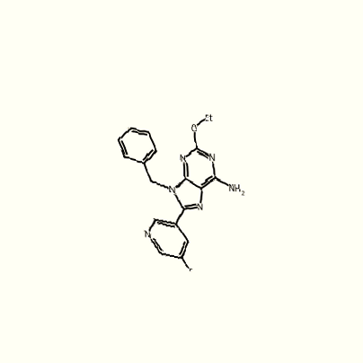 CCOc1nc(N)c2nc(-c3cncc(F)c3)n(Cc3cc[c]cc3)c2n1